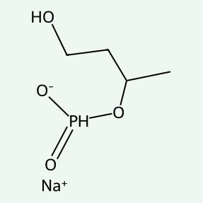 CC(CCO)O[PH](=O)[O-].[Na+]